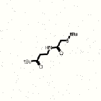 CC(C)(C)SCC(=O)NCCC(=O)C(C)(C)C